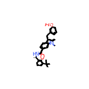 Cc1c(Cc2cccc(O)c2)c2ccc(C(=O)N[C@@H](C)c3cccc(C(C)(C)C)c3)cc2n1C